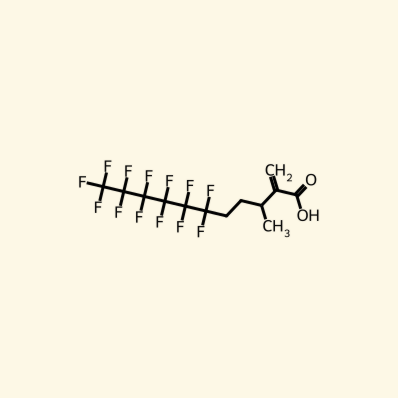 C=C(C(=O)O)C(C)CCC(F)(F)C(F)(F)C(F)(F)C(F)(F)C(F)(F)C(F)(F)F